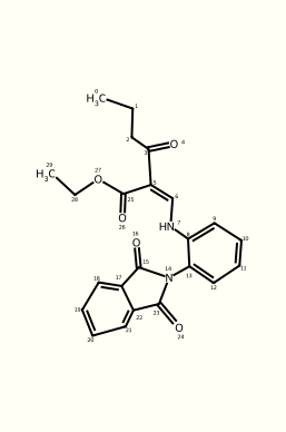 CCCC(=O)C(=CNc1ccccc1N1C(=O)c2ccccc2C1=O)C(=O)OCC